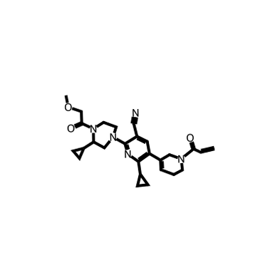 C=CC(=O)N1CCC=C(c2cc(C#N)c(N3CCN(C(=O)COC)C(C4CC4)C3)nc2C2CC2)C1